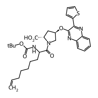 C=CCCCCCC(NC(=O)OC(C)(C)C)C(=O)N1C[C@H](Oc2nc3ccccc3nc2-c2cccs2)C[C@H]1C(=O)O